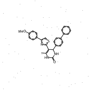 COc1ccc(-c2csc(C3=C(C)NC(=O)NC3c3ccc(-c4ccccc4)cc3)n2)cc1